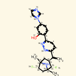 C=C(c1ccc(-c2ccc(-n3ccnc3)cc2O)nn1)[C@@H]1C[C@]2(C)N[C@@](C)(C[C@@H]2F)[C@H]1F